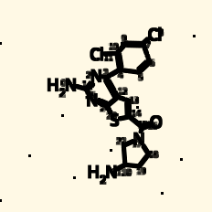 Nc1nc(-c2ccc(Cl)cc2Cl)c2cc(C(=O)N3CCC(N)C3)sc2n1